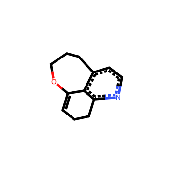 C1=C2OCCCc3ccnc(c32)CC1